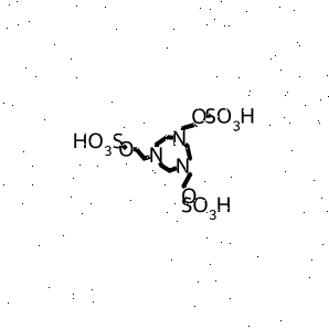 O=S(=O)(O)OCCN1CCN(CCOS(=O)(=O)O)CCN(CCOS(=O)(=O)O)CC1